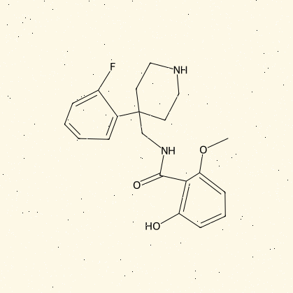 COc1cccc(O)c1C(=O)NCC1(c2ccccc2F)CCNCC1